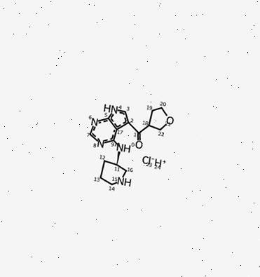 O=C(c1c[nH]c2ncnc(N[C@@H]3CCCNC3)c12)C1CCOC1.[Cl-].[H+]